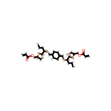 C=CC(=O)OCC1CSC(C(CCC)SCC2CCC(CSC(CCC)C3SCC(COC(=O)C=C)S3)CC2)S1